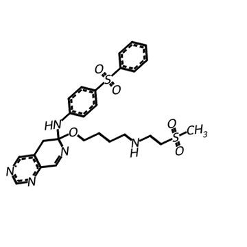 CS(=O)(=O)CCNCCCCOC1(Nc2ccc(S(=O)(=O)c3ccccc3)cc2)Cc2cncnc2C=N1